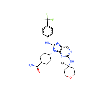 CC1(Nc2ncc3nc(Nc4ccc(C(F)(F)F)cc4)n([C@H]4CC[C@H](C(N)=O)CC4)c3n2)CCOCC1